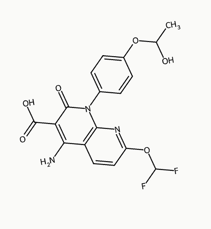 CC(O)Oc1ccc(-n2c(=O)c(C(=O)O)c(N)c3ccc(OC(F)F)nc32)cc1